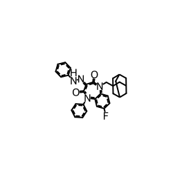 O=c1/c(=N/Nc2ccccc2)c(=O)n(-c2ccccc2)c2cc(F)ccc2n1CC12CC3CC(CC(C3)C1)C2